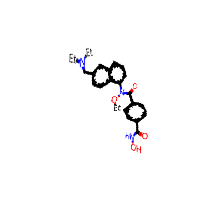 CCON(C(=O)c1ccc(C(=O)NO)cc1)c1cccc2cc(CN(CC)CC)ccc12